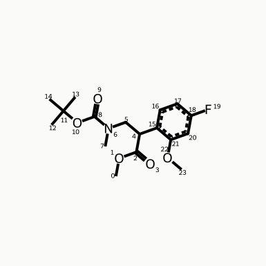 COC(=O)C(CN(C)C(=O)OC(C)(C)C)c1ccc(F)cc1OC